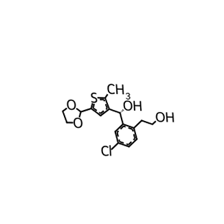 Cc1sc(C2OCCO2)cc1[C@H](O)c1cc(Cl)ccc1CCO